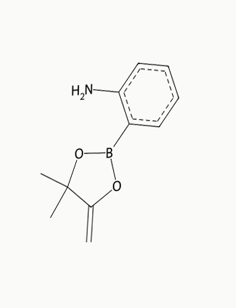 C=C1OB(c2ccccc2N)OC1(C)C